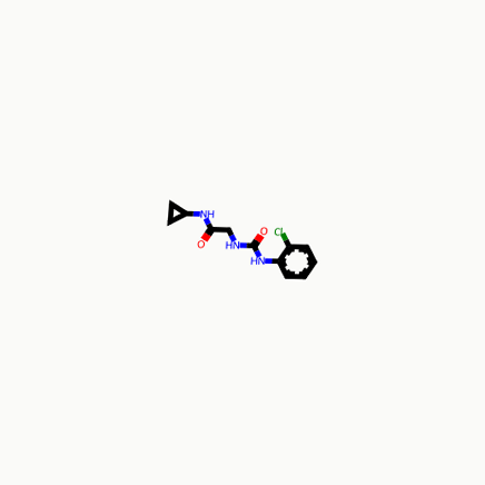 O=C(CNC(=O)Nc1ccccc1Cl)NC1CC1